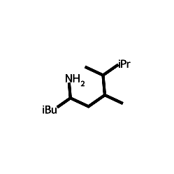 CCC(C)C(N)CC(C)C(C)C(C)C